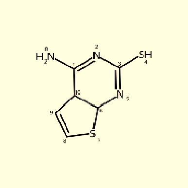 NC1=NC(S)=NC2SC=CC12